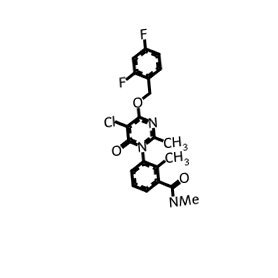 CNC(=O)c1cccc(-n2c(C)nc(OCc3ccc(F)cc3F)c(Cl)c2=O)c1C